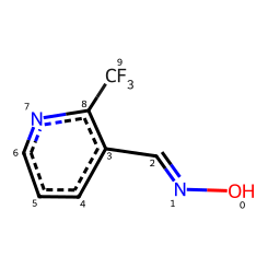 ON=Cc1cccnc1C(F)(F)F